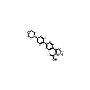 O=C(O)c1[nH]nnc1-c1ccc(-c2ccc(N3CCOCC3)cc2)cc1